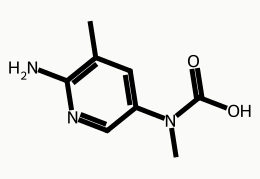 Cc1cc(N(C)C(=O)O)cnc1N